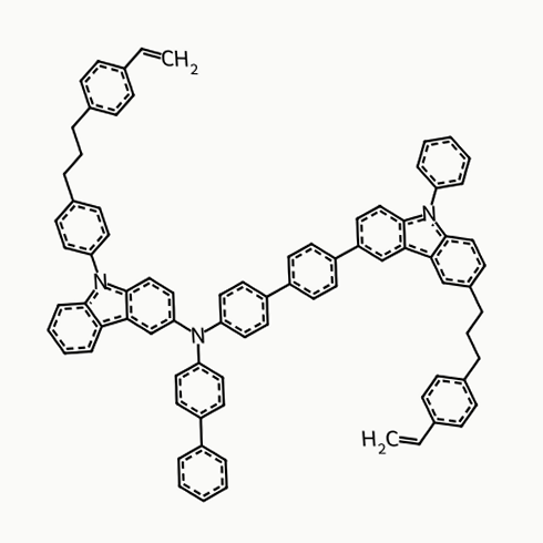 C=Cc1ccc(CCCc2ccc(-n3c4ccccc4c4cc(N(c5ccc(-c6ccccc6)cc5)c5ccc(-c6ccc(-c7ccc8c(c7)c7cc(CCCc9ccc(C=C)cc9)ccc7n8-c7ccccc7)cc6)cc5)ccc43)cc2)cc1